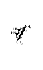 CCCCCCCCN.N=C(N)NC(=N)N